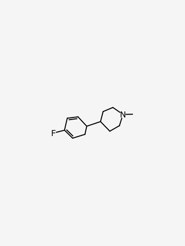 CN1CCC(C2C=CC(F)=CC2)CC1